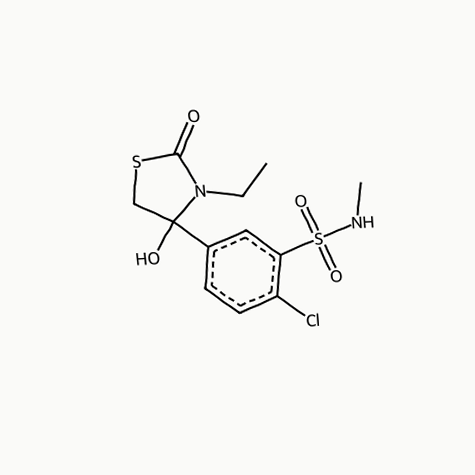 CCN1C(=O)SCC1(O)c1ccc(Cl)c(S(=O)(=O)NC)c1